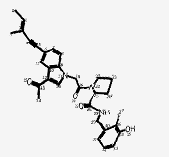 C/C=C(\C)C#Cc1ccc2c(c1)c(C(C)=O)cn2CC(=O)N1CCC[C@H]1C(=O)NCc1cccc(O)c1F